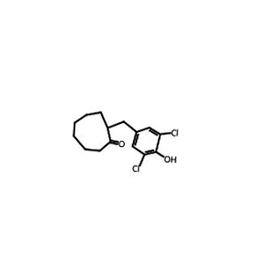 O=C1CCCCCCC1Cc1cc(Cl)c(O)c(Cl)c1